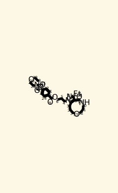 CCc1nn(CCCOC(=O)c2ccc(S(=O)(=O)N3CCOCC3)cc2)c2c1C(=O)NCCCOCCC2